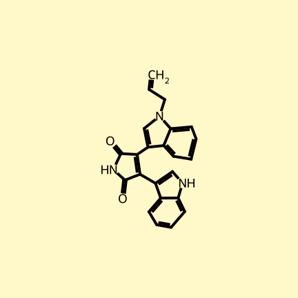 C=CCn1cc(C2=C(c3c[nH]c4ccccc34)C(=O)NC2=O)c2ccccc21